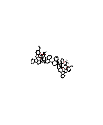 C=Cc1ccc(CC2(c3ccc(C(C)(C)C)cc3)C3=C(CCC=C3)C3=C2CC(C)(N(c2ccccc2)c2ccc(C4CC=C(N(c5ccccc5)c5ccc6c(c5)C(Cc5ccc(C=C)cc5)(C5C=CC(C(C)(C)C)=CC5C)c5ccccc5-6)c5ccccc54)c4ccccc24)C=C3)cc1